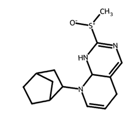 C[S+]([O-])C1=NC=C2CC=CN(C3CC4CCC3C4)C2N1